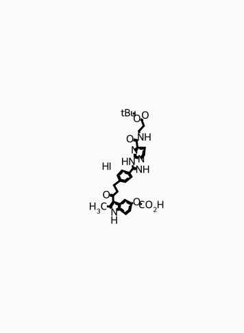 Cc1[nH]c2ccc(OC(=O)O)cc2c1C(=O)CCc1ccc(C(=N)Nc2nccc(C(=O)NCCC(=O)OC(C)(C)C)n2)cc1.I